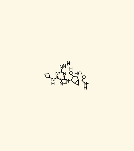 CNC(=O)[C@]12CC1[C@@H](n1cnc3c(NC4CCC4)nc(N=[N+]=[N-])nc31)C(O)[C@@H]2O